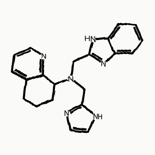 c1cnc2c(c1)CCCC2N(Cc1ncc[nH]1)Cc1nc2ccccc2[nH]1